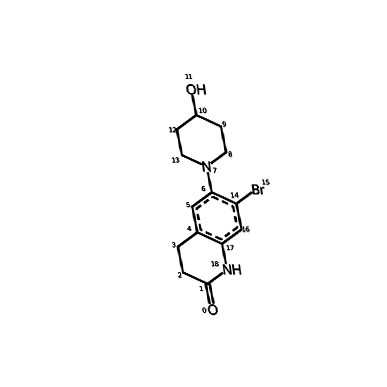 O=C1CCc2cc(N3CCC(O)CC3)c(Br)cc2N1